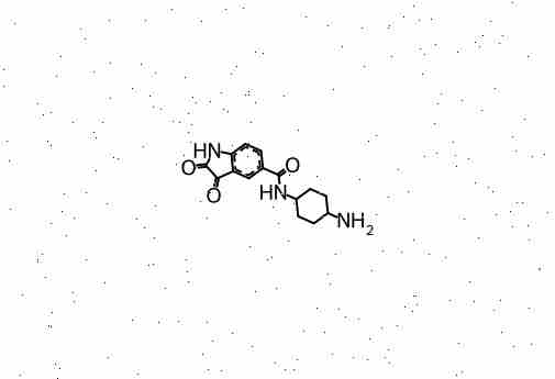 NC1CCC(NC(=O)c2ccc3c(c2)C(=O)C(=O)N3)CC1